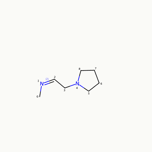 C/N=C\CN1CCCC1